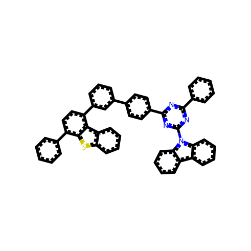 c1ccc(-c2nc(-c3ccc(-c4cccc(-c5ccc(-c6ccccc6)c6sc7ccccc7c56)c4)cc3)nc(-n3c4ccccc4c4ccccc43)n2)cc1